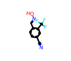 N#Cc1ccc(C=NO)c(C(F)(F)F)c1